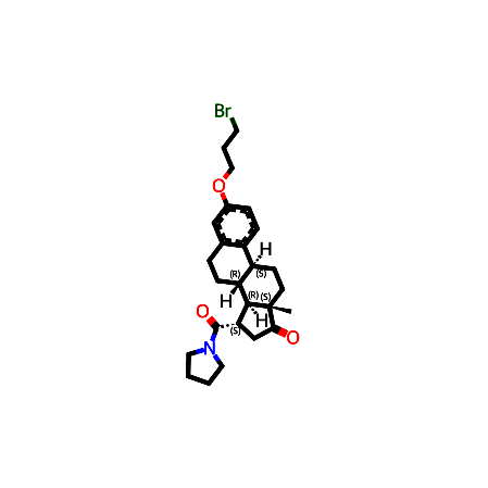 C[C@]12CC[C@@H]3c4ccc(OCCCBr)cc4CC[C@H]3[C@@H]1[C@@H](C(=O)N1CCCC1)CC2=O